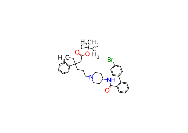 CCC(CCCN1CCC(NC(=O)c2ccccc2-c2ccc(Br)cc2)CC1)(CC(=O)OC(C)(C)C)c1ccccc1